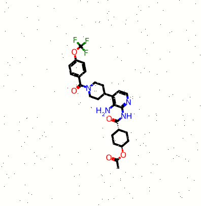 CC(=O)O[C@H]1CC[C@H](C(=O)Nc2nccc(C3CCN(C(=O)c4ccc(OC(F)(F)F)cc4)CC3)c2N)CC1